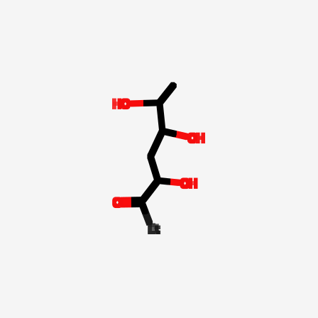 CCC(=O)C(O)CC(O)C(C)O